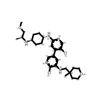 COC[C@H](C)N[C@H]1CC[C@H](Nc2cc(-c3cnc(Cl)c(NCC4(C)CCOCC4)c3)c(Cl)cn2)CC1